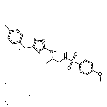 COc1ccc(S(=O)(=O)NCC(C)Nc2nc(Cc3ccc(C)cc3)ns2)cc1